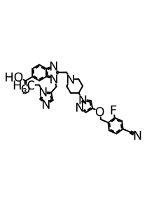 CCn1cncc1Cn1c(CN2CCC(n3cc(OCc4ccc(C#N)cc4F)cn3)CC2)nc2ccc(C(=O)O)cc21